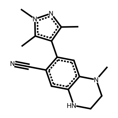 Cc1nn(C)c(C)c1-c1cc2c(cc1C#N)NCCN2C